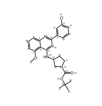 COc1cncc2nc(-c3ccnc(Cl)c3)nc(NC3CCN(C(=O)OC(C)(C)C)C3)c12